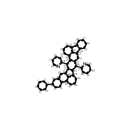 c1ccc(-c2ccc3c(c2)cc2c4c(-c5ccccn5)c5c(cc6c7ccccc7c7cccc5c76)c(-c5ccccn5)c4c4cccc3c42)cc1